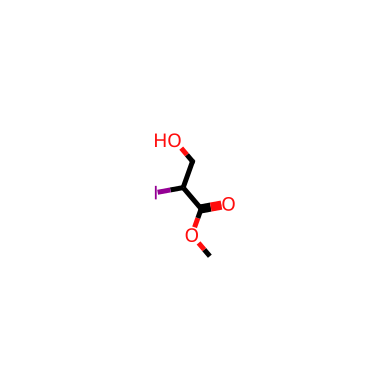 COC(=O)C(I)CO